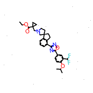 CCOC(=O)C1(CN2CCC3(CCc4c(-c5noc(-c6ccc(OC(C)C)c(C(F)F)c6)n5)cccc43)C2)CC1